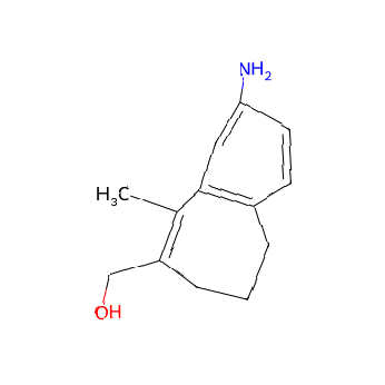 CC1=C(CO)CCCc2ccc(N)cc21